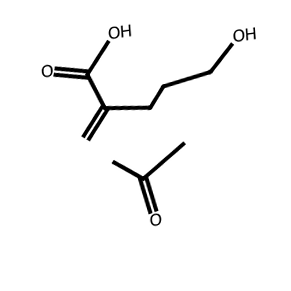 C=C(CCCO)C(=O)O.CC(C)=O